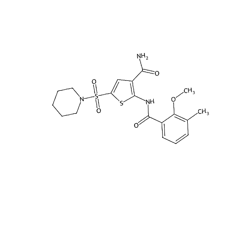 COc1c(C)cccc1C(=O)Nc1sc(S(=O)(=O)N2CCCCC2)cc1C(N)=O